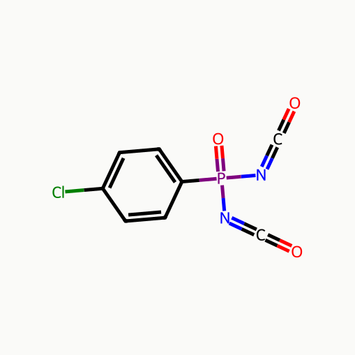 O=C=NP(=O)(N=C=O)c1ccc(Cl)cc1